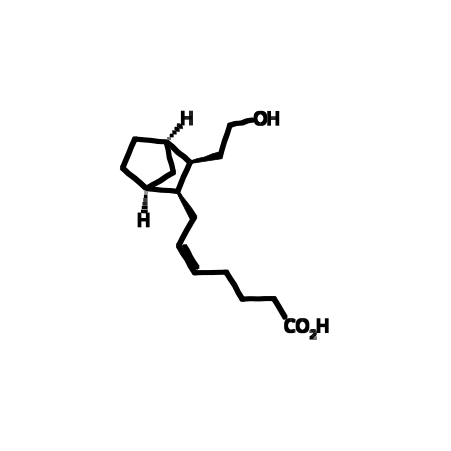 O=C(O)CCC/C=C\C[C@H]1[C@H]2CC[C@H](C2)[C@H]1CCO